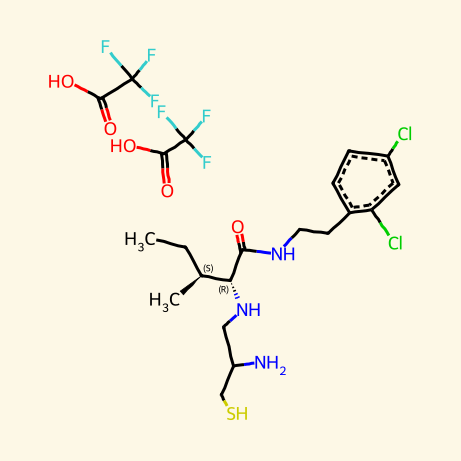 CC[C@H](C)[C@@H](NCC(N)CS)C(=O)NCCc1ccc(Cl)cc1Cl.O=C(O)C(F)(F)F.O=C(O)C(F)(F)F